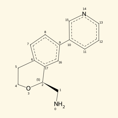 NC[C@H]1OCCc2ccc(-c3cccnc3)cc21